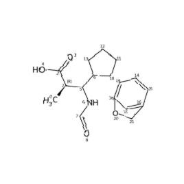 C[C@@H](C(=O)O)C(NC=O)C1CCCC1.c1cc2cc(c1)OC2